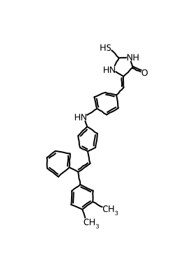 Cc1ccc(/C(=C/c2ccc(Nc3ccc(/C=C4\NC(S)NC4=O)cc3)cc2)c2ccccc2)cc1C